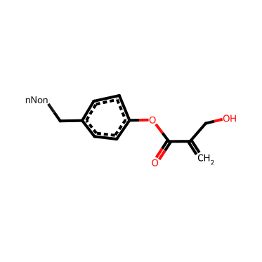 C=C(CO)C(=O)Oc1ccc(CCCCCCCCCC)cc1